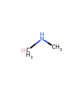 CNC.[B]